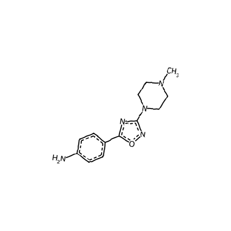 CN1CCN(c2noc(-c3ccc(N)cc3)n2)CC1